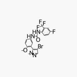 COc1ccc(NC(=O)Nc2ccc(F)cc2C(F)(F)F)cc1-c1c(Br)cnn1C